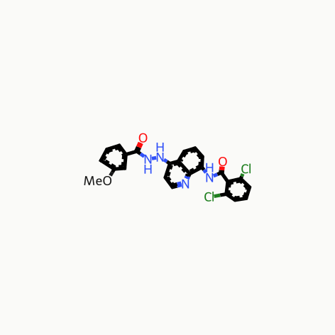 COc1cccc(C(=O)NNc2ccnc3c(NC(=O)c4c(Cl)cccc4Cl)cccc23)c1